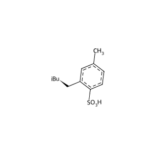 CC[C@H](C)Cc1cc(C)ccc1S(=O)(=O)O